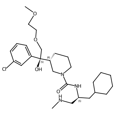 CNC[C@H](CC1CCCCC1)NC(=O)N1CCC[C@@H]([C@@](O)(COCCOC)c2cccc(Cl)c2)C1